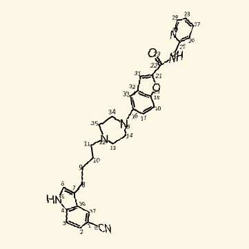 N#Cc1ccc2[nH]cc(CCCCN3CCN(c4ccc5oc(C(=O)Nc6ccccn6)cc5c4)CC3)c2c1